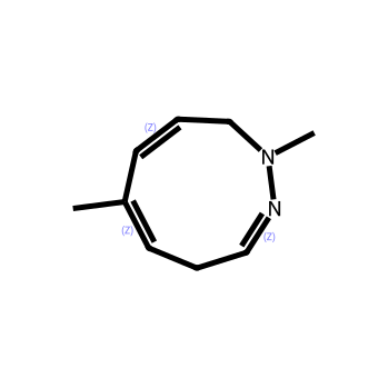 CC1=C/C/C=N\N(C)C/C=C\1